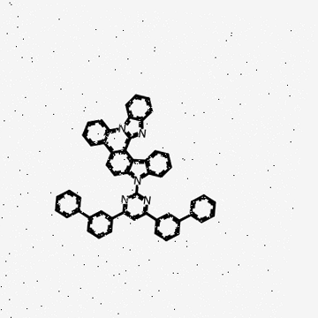 c1ccc(-c2cccc(-c3cc(-c4cccc(-c5ccccc5)c4)nc(-n4c5ccccc5c5c6c(ccc54)c4ccccc4n4c5ccccc5nc64)n3)c2)cc1